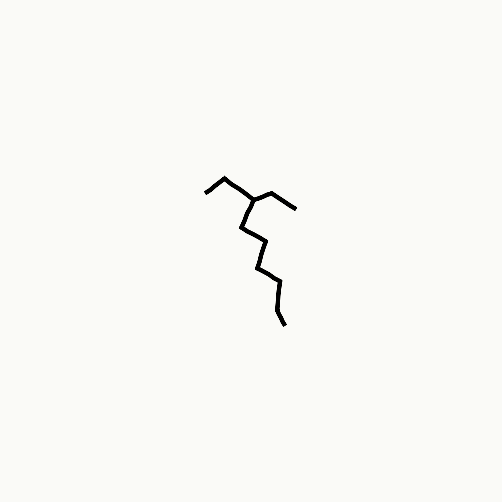 C[CH]C(CC)CCCCCC